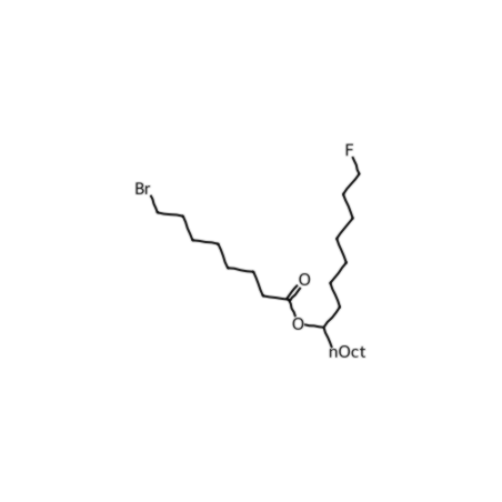 CCCCCCCCC(CCCCCCCF)OC(=O)CCCCCCCBr